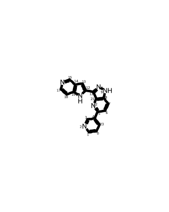 c1cncc(-c2ccc3[nH]nc(-c4cc5cnccc5[nH]4)c3n2)c1